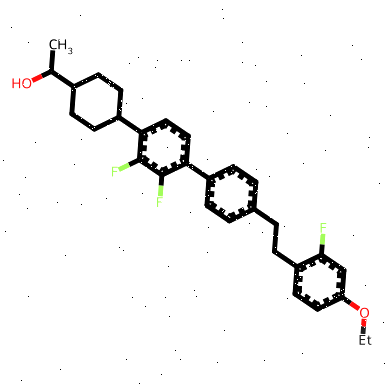 CCOc1ccc(CCc2ccc(-c3ccc(C4CCC(C(C)O)CC4)c(F)c3F)cc2)c(F)c1